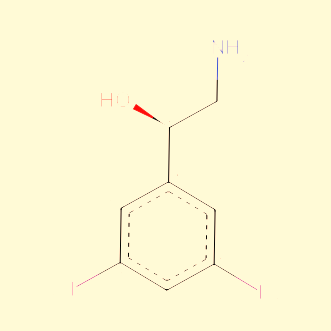 NC[C@H](O)c1cc(I)cc(I)c1